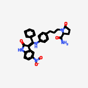 NC(=O)C1CCC(=O)N1CCCc1ccc(NC(=C2C(=O)Nc3ccc([N+](=O)[O-])cc32)c2ccccc2)cc1